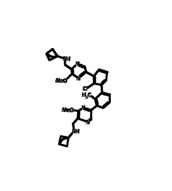 COc1nc(-c2cccc(-c3cccc(-c4cnc(CNC56CC(C5)C6)c(OC)n4)c3Cl)c2C)cnc1CNC12CC(C1)C2